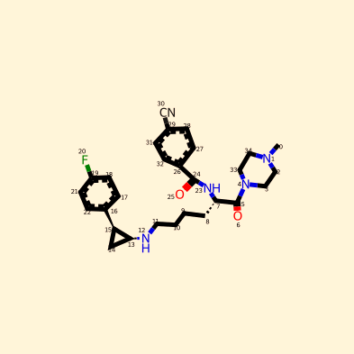 CN1CCN(C(=O)[C@H](CCCCN[C@@H]2C[C@H]2c2ccc(F)cc2)NC(=O)c2ccc(C#N)cc2)CC1